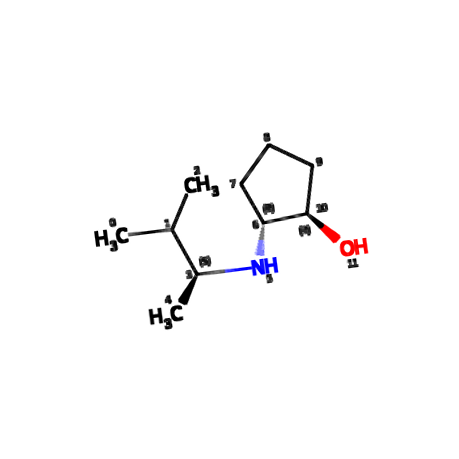 CC(C)[C@H](C)N[C@@H]1CCC[C@H]1O